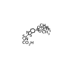 CC1(C)OB(c2ccc3nc(C4=NC(C(=O)O)CS4)sc3c2)OC1(C)C